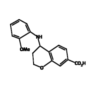 COc1ccccc1NC1CCOc2cc(C(=O)O)ccc21